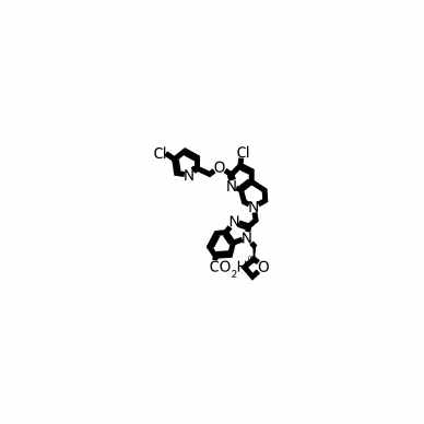 O=C(O)c1ccc2nc(CN3CCc4cc(Cl)c(OCc5ccc(Cl)cn5)nc4C3)n(C[C@@H]3CCO3)c2c1